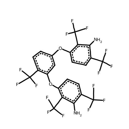 Nc1c(C(F)(F)F)ccc(Oc2ccc(C(F)(F)F)c(Oc3ccc(C(F)(F)F)c(N)c3C(F)(F)F)c2)c1C(F)(F)F